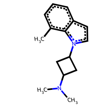 Cc1cccc2ccn(C3CC(N(C)C)C3)c12